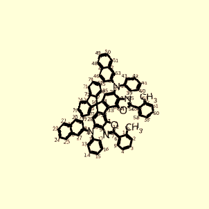 Cc1ccccc1-c1nc2c(N(c3ccccc3)c3ccc4ccccc4c3)cc3c(c2o1)-c1c(cc(N(c2ccccc2)c2ccc4ccccc4c2)c2nc(-c4ccccc4C)oc12)C31c2ccccc2-c2ccccc21